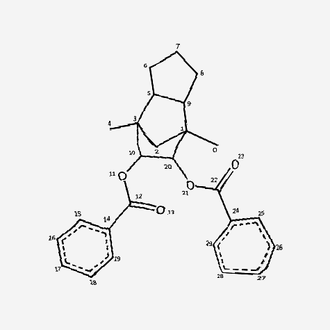 CC12CC(C)(C3CCCC31)C(OC(=O)c1ccccc1)C2OC(=O)c1ccccc1